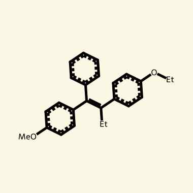 [CH2]COc1ccc(/C(CC)=C(\c2ccccc2)c2ccc(OC)cc2)cc1